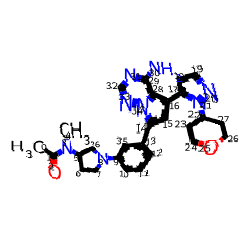 CC(=O)N(C)C1CCN(c2cccc(-c3cc(-c4ccnn4C4CCOCC4)c4c(N)ncnn34)c2)C1